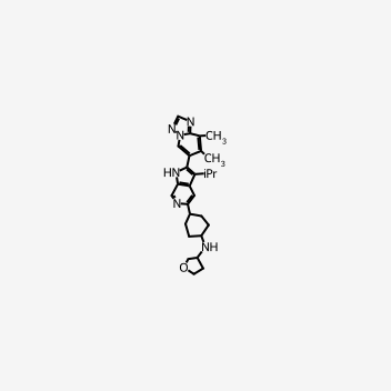 Cc1c(-c2[nH]c3cnc(C4CCC(NC5CCOC5)CC4)cc3c2C(C)C)cn2ncnc2c1C